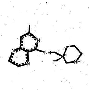 Cc1cc2nccnc2c(NC[C@]2(F)CCCNC2)n1